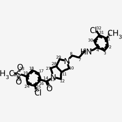 Cc1ccc(NCCCN2CC3CN(C(=O)c4ccc(S(C)(=O)=O)cc4Cl)CC3C2)cc1Cl